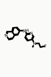 CN(CCF)c1ccc(Nc2ccc3cnccc3c2)nc1